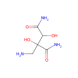 NCC(O)(C(N)=O)C(O)C(N)=O